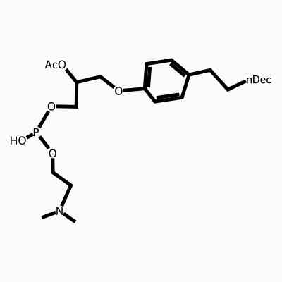 CCCCCCCCCCCCc1ccc(OCC(COP(O)OCCN(C)C)OC(C)=O)cc1